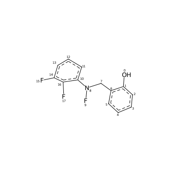 Oc1ccccc1CN(F)c1cccc(F)c1F